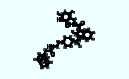 Cc1cc(C)c(CNC(=O)c2c(C)n([C@@H](C)C3CCN(CCNC(=O)CC4C5CC6CC(C5)CC4C6)CC3)c3ccccc23)c(=O)[nH]1